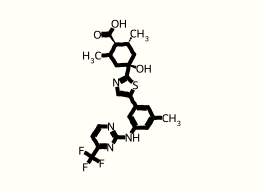 Cc1cc(Nc2nccc(C(F)(F)F)n2)cc(-c2cnc([C@]3(O)CC(C)[C@@H](C(=O)O)[C@H](C)C3)s2)c1